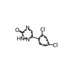 O=c1ncc(-c2ccc(Cl)cc2Cl)n[nH]1